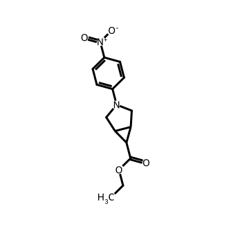 CCOC(=O)C1C2CN(c3ccc([N+](=O)[O-])cc3)CC21